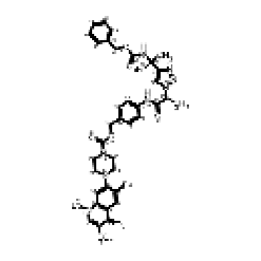 CCn1cc(C(=O)O)c(=O)c2cc(F)c(N3CCN(C(=O)OCc4ccc(NC(=O)[C@H](C)n5cc([C@@](C)(NC(=O)OCc6ccccc6)C(C)C)nn5)cc4)CC3)cc21